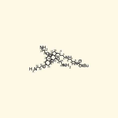 C[C@H](CCCNCCCCNC(=O)OC(C)(C)C)C1CC[C@H]2C3[C@H](OCCCN)CC4C[C@H](OCCCN)CC[C@]4(C)[C@H]3C[C@H](OCCCN)[C@]12C